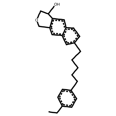 CCc1ccc(CCCCCc2ccc3cc4c(cc3c2)COCC4O)cc1